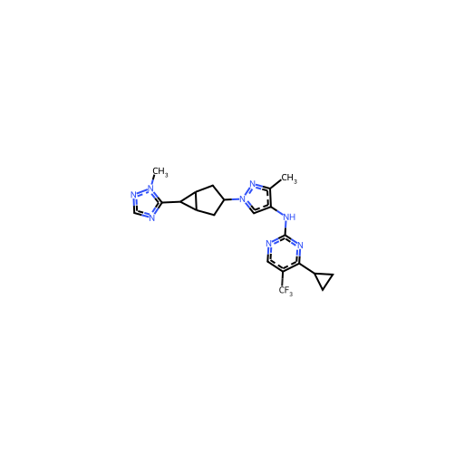 Cc1nn(C2CC3C(C2)C3c2ncnn2C)cc1Nc1ncc(C(F)(F)F)c(C2CC2)n1